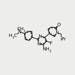 CC(C)Cn1cc(-c2nc(-c3ccc(N(C)C)cc3)nc(N)c2F)ccc1=O